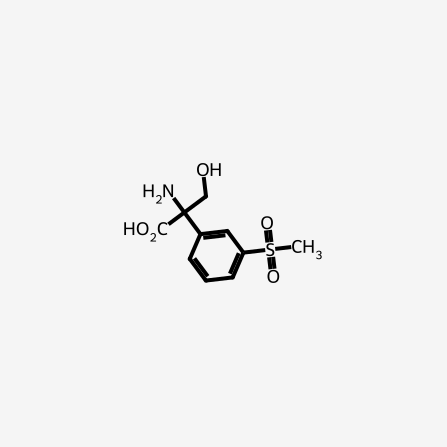 CS(=O)(=O)c1cccc(C(N)(CO)C(=O)O)c1